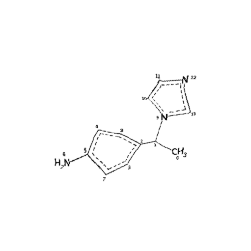 CC(c1ccc(N)cc1)n1ccnc1